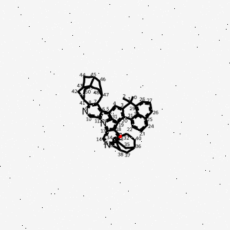 CC1(C)c2cc3c4c5c(ncc4n4c6cnc7c(c6c(c2-c2cccc6cccc1c26)c34)C1CC2CC(CC7C2)C1)C1CC2CC3CC5CC23C1